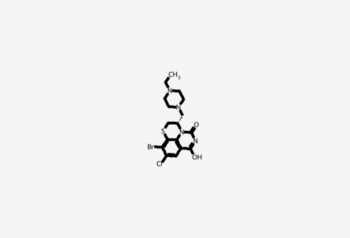 CCN1CCN(C[C@H]2CSc3c(Br)c(Cl)cc4c(O)nc(=O)n2c34)CC1